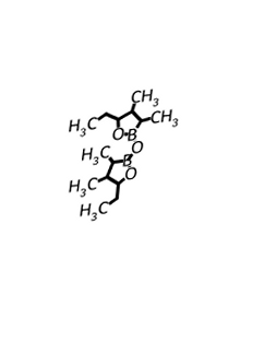 CCC1OB(OB2OC(CC)C(C)C2C)C(C)C1C